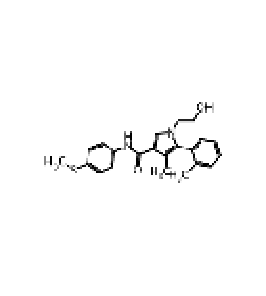 CSc1ccc(NC(=O)c2cn(CCO)c(-c3ccccc3C)c2C)cc1